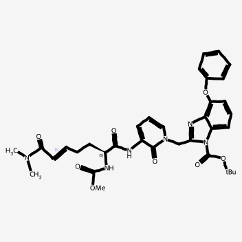 COC(=O)N[C@@H](CC/C=C/C(=O)N(C)C)C(=O)Nc1cccn(Cc2nc3c(Oc4ccccc4)cccc3n2C(=O)OC(C)(C)C)c1=O